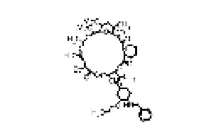 C=CCOC1CC(C=C(C)C2OC(=O)C3CCCCN3C(=O)C(=O)C3(O)OC(C(OC)CC(C)C/C(C)=C/C(CC)C(=O)CCC2C)C(OC)CC3C)CCC1NCc1ccccc1